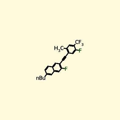 CCCCc1ccc2cc(C#Cc3cc(F)c(C(F)(F)F)cc3C)c(F)cc2c1